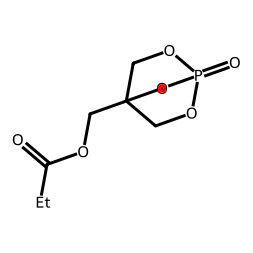 CCC(=O)OCC12COP(=O)(OC1)OC2